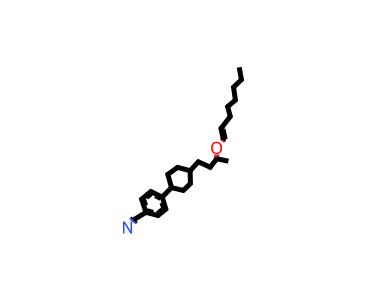 CCCCCC/C=C/OC(C)CCC1CCC(c2ccc(C#N)cc2)CC1